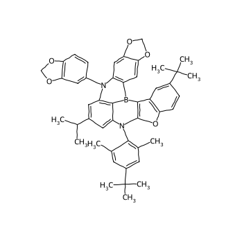 Cc1cc(C(C)(C)C)cc(C)c1N1c2cc(C(C)C)cc3c2B(c2cc4c(cc2N3c2ccc3c(c2)OCO3)OCO4)c2c1oc1ccc(C(C)(C)C)cc21